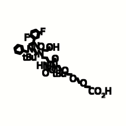 CC(C)(C)OC(=O)NC(CCN(C(=O)CO)C(c1nc(-c2cc(F)ccc2F)cn1Cc1ccccc1)C(C)(C)C)C(=O)NCCOCCOCCOCCC(=O)O